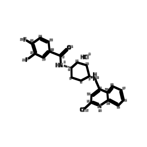 Cl.O=C(N[C@H]1CC[C@@H](Nc2cc(Cl)nc3ccccc23)CC1)c1ccc(F)c(F)c1